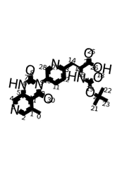 Cc1cncc2[nH]c(=O)n(-c3ccc(C[C@H](NC(=O)OC(C)(C)C)C(=O)O)nc3)c(=O)c12